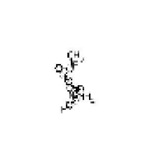 CC#CC1(F)CC[C@@H](C(=O)N2CCC(O)(Cn3cnc(Oc4ccc(F)cc4)c(N)c3=O)CC2)[C@H](c2ccccc2)C1